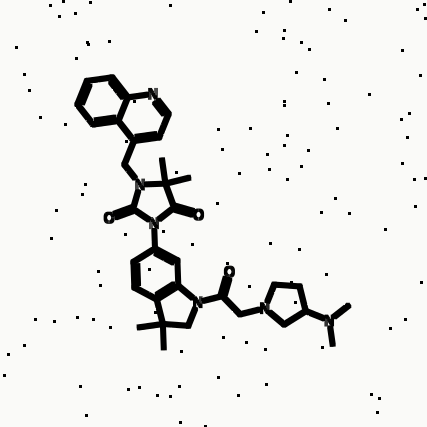 CN(C)C1CCN(CC(=O)N2CC(C)(C)c3ccc(N4C(=O)N(Cc5ccnc6ccccc56)C(C)(C)C4=O)cc32)C1